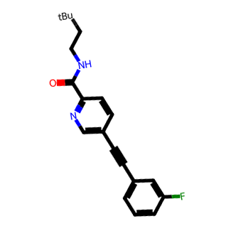 CC(C)(C)CCNC(=O)c1ccc(C#Cc2cccc(F)c2)cn1